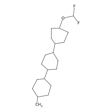 CC1CCC(C2CCC(C3CCC(OC(F)F)CC3)CC2)CC1